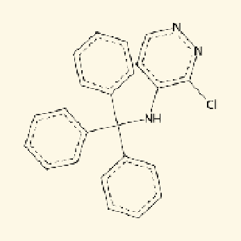 Clc1nnccc1NC(c1ccccc1)(c1ccccc1)c1ccccc1